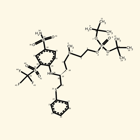 CN(CCOP(=O)(OC(C)(C)C)OC(C)(C)C)CC[C@H](CSc1ccccc1)Nc1ccc(S(N)(=O)=O)cc1S(=O)(=O)C(F)(F)F